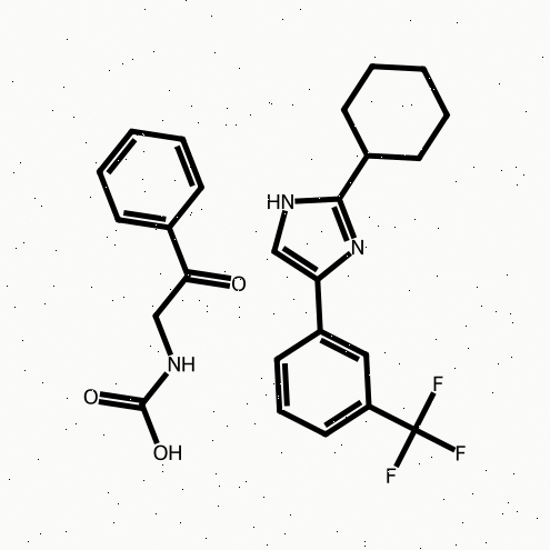 FC(F)(F)c1cccc(-c2c[nH]c(C3CCCCC3)n2)c1.O=C(O)NCC(=O)c1ccccc1